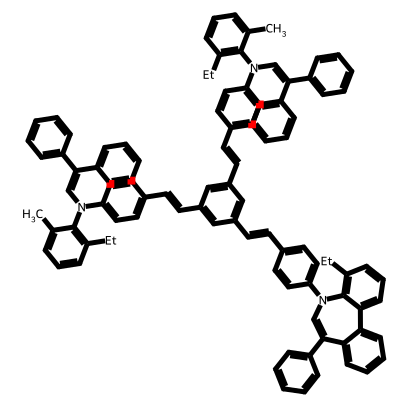 CCc1cccc(C)c1N(C=C(c1ccccc1)c1ccccc1)c1ccc(/C=C/c2cc(/C=C/c3ccc(N(C=C(c4ccccc4)c4ccccc4)c4c(C)cccc4CC)cc3)cc(/C=C/c3ccc(N4C=C(c5ccccc5)c5ccccc5-c5cccc(CC)c54)cc3)c2)cc1